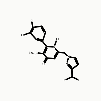 CCOC(=O)c1c(-c2ccc(Cl)c(Cl)c2)n(CC)c(Cn2ccc(C(F)F)n2)cc1=O